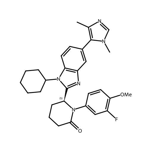 COc1ccc(N2C(=O)CCC[C@H]2c2nc3cc(-c4c(C)ncn4C)ccc3n2C2CCCCC2)cc1F